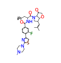 CC(C)=CC1CN(C(=O)C(CC(C)C)NC(=O)c2ccc(-c3csc(N4CCN(C)CC4)n3)c(F)c2)C2C(=O)COC12